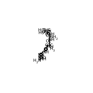 C[C@H](CCC(=O)NC[C@H](N)C(=O)N[C@@H](CC=O)C(=O)N[C@H](C)CS)NC(=O)c1ccc(NCc2cnc3nc(N)[nH]c(=O)c3n2)cc1